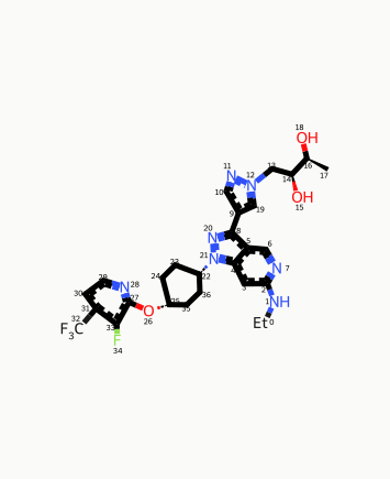 CCNc1cc2c(cn1)c(-c1cnn(C[C@H](O)[C@H](C)O)c1)nn2[C@H]1CC[C@@H](Oc2nccc(C(F)(F)F)c2F)CC1